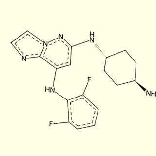 N[C@H]1CC[C@H](Nc2cc(Nc3c(F)cccc3F)c3nccn3n2)CC1